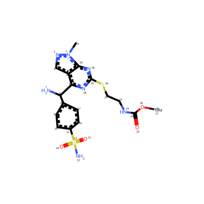 Cn1ncc2c(C(N)c3ccc(S(N)(=O)=O)cc3)nc(SCCNC(=O)OC(C)(C)C)nc21